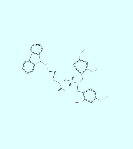 COc1ccc(CN(Cc2ccc(OC)cc2OC)S(=O)(=O)C[C@H](NC(=O)OCC2c3ccccc3-c3ccccc32)C(=O)O)c(OC)c1